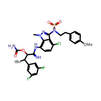 COc1ccc(CCN(c2nn(C)c3c(NC(=N)C(OC(N)=O)C(c4cc(F)cc(F)c4)C(C)(C)C)ccc(Cl)c23)[SH](=O)=O)cc1